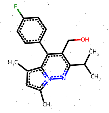 Cc1cc(C)n2nc(C(C)C)c(CO)c(-c3ccc(F)cc3)c12